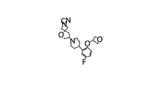 N#CN1CC2(C[C@H](N3CCC(c4cc(F)ccc4OC4COC4)CC3)CO2)C1